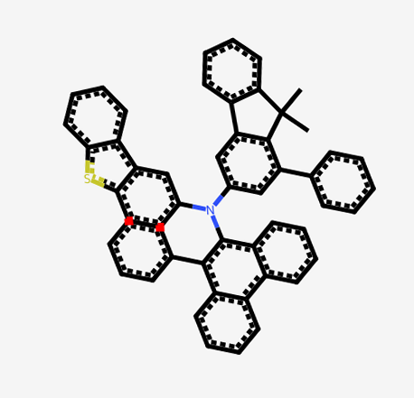 CC1(C)c2ccccc2-c2cc(N(c3ccc4sc5ccccc5c4c3)c3c(-c4ccccc4)c4ccccc4c4ccccc34)cc(-c3ccccc3)c21